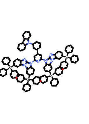 c1ccc([Si](c2ccccc2)(c2ccccc2)c2ccc3nc4n(-c5cc(-c6cccc(-n7c8ccccc8c8ccccc87)c6)cc(-n6c7ccc([Si](c8ccccc8)(c8ccccc8)c8ccccc8)cc7n7c8cc([Si](c9ccccc9)(c9ccccc9)c9ccccc9)ccc8nc67)n5)c5ccc([Si](c6ccccc6)(c6ccccc6)c6ccccc6)cc5n4c3c2)cc1